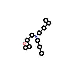 c1ccc(-c2ccc(-c3ccc(N(c4ccc(-c5ccc(-c6cccc7ccccc67)cc5)cc4)c4cccc(-c5ccc6c(c5)-c5cccc7cccc(c57)O6)c4)cc3)cc2)cc1